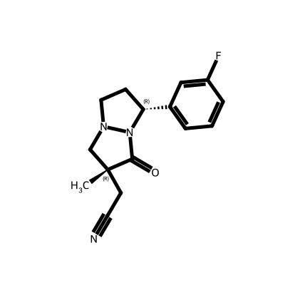 C[C@@]1(CC#N)CN2CC[C@H](c3cccc(F)c3)N2C1=O